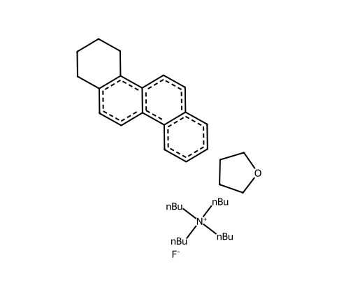 C1CCOC1.CCCC[N+](CCCC)(CCCC)CCCC.[F-].c1ccc2c(c1)ccc1c3c(ccc12)CCCC3